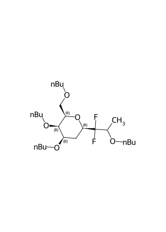 CCCCOC[C@H]1O[C@@H](C(F)(F)C(C)OCCCC)C[C@@H](OCCCC)[C@H]1OCCCC